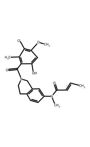 C/C=C/C(=O)N(C)c1ccc2c(c1)CN(C(=O)c1c(O)cc(OC)c(Cl)c1C)CC2